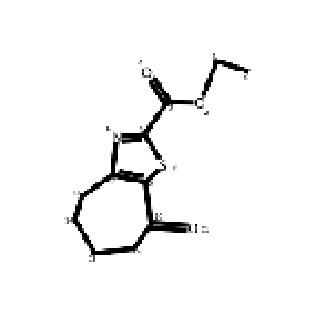 CCOC(=O)c1nc2c(s1)C(=O)CCCC2